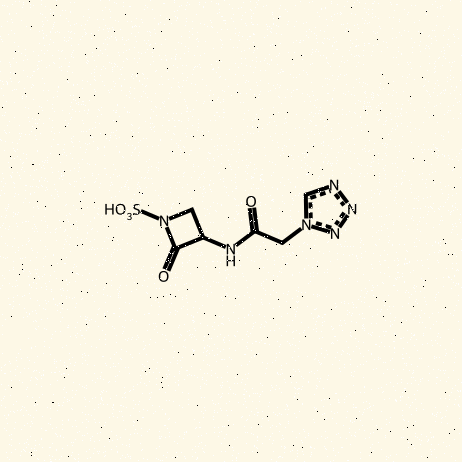 O=C(Cn1cnnn1)NC1CN(S(=O)(=O)O)C1=O